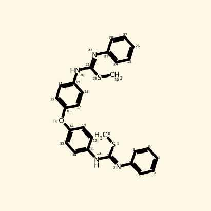 CSC(=Nc1ccccc1)Nc1ccc(Oc2ccc(NC(=Nc3ccccc3)SC)cc2)cc1